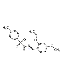 C=COc1cc(OC)ccc1/C=N/NS(=O)(=O)c1ccc(C)cc1